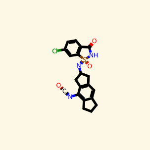 O=C=Nc1c2c(cc3c1CC(N=S1(=O)NC(=O)c4ccc(Cl)cc41)C3)CCC2